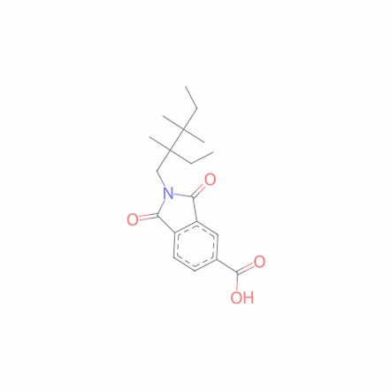 CCC(C)(C)C(C)(CC)CN1C(=O)c2ccc(C(=O)O)cc2C1=O